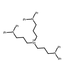 CC(C)N(CC[CH2][SnH]([CH2]CCN(C(C)C)C(C)C)[CH2]CCN(C(C)C)C(C)C)C(C)C